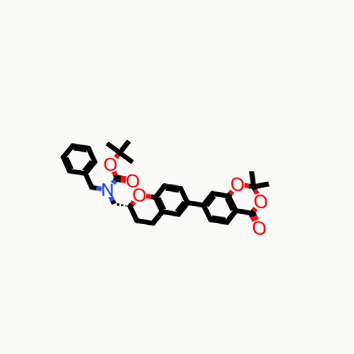 CC(C)(C)OC(=O)N(Cc1ccccc1)C[C@H]1CCc2cc(-c3ccc4c(c3)OC(C)(C)OC4=O)ccc2O1